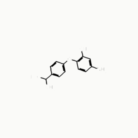 Cc1cc(N)ccc1Oc1ccc(C(C)C)cc1